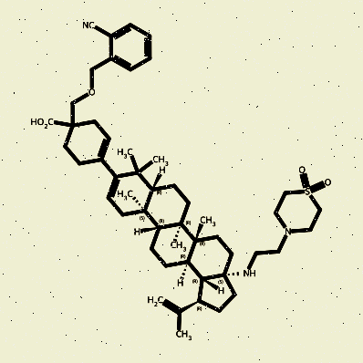 C=C(C)[C@@H]1CC[C@]2(NCCN3CCS(=O)(=O)CC3)CC[C@]3(C)[C@H](CC[C@@H]4[C@@]5(C)CC=C(C6=CCC(COCc7ccccc7C#N)(C(=O)O)CC6)C(C)(C)[C@@H]5CC[C@]43C)[C@@H]12